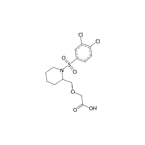 O=C(O)COCC1CCCCN1S(=O)(=O)c1ccc(Cl)c(Cl)c1